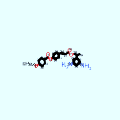 CCCCCCOC1CCC(C(=O)Oc2ccc(/C=C/C(=O)OCC(C)c3cc(N)cc(N)c3)cc2)CC1